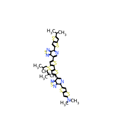 CC(C)CS1(CC(C)C)c2cc(-c3cnc(-c4cc5sc(C(C)C)cc5s4)c4nsnc34)sc2-c2sc(-c3cnc(-c4cc5sc(N(C)C)cc5s4)c4nsnc34)cc21